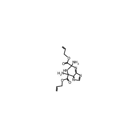 C=CCOC(=O)C1(N)N=C2N=CN=C2C(N)(C(=O)OCC=C)N1